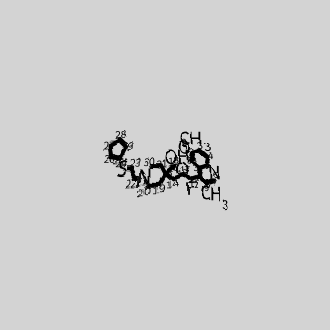 COc1ccc2ncc(C)c([C@H](F)CCC3(C(=O)O)CCN(CCSC4CCCC4)CC3)c2c1